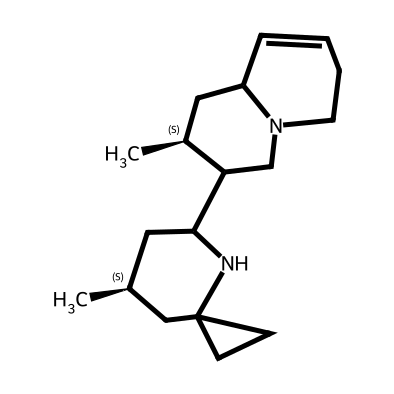 C[C@H]1CC(C2CN3CCC=CC3C[C@@H]2C)NC2(CC2)C1